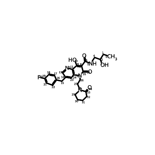 CCC(O)CNC(=O)c1c(O)c2ncc(Cc3ccc(F)cc3)cc2n(CCN2CCCCC2=O)c1=O